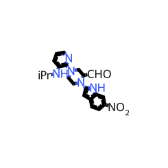 CC(C)Nc1cccnc1N1CCN(c2cc3ccc([N+](=O)[O-])cc3[nH]2)C(C=O)C1